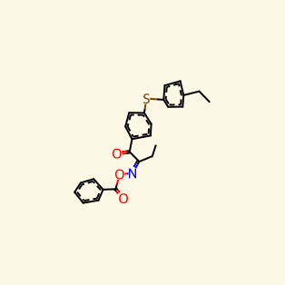 CCC(=NOC(=O)c1ccccc1)C(=O)c1ccc(Sc2ccc(CC)cc2)cc1